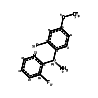 N[C@@H](c1ccc(OC(F)(F)F)cc1F)c1ncccc1F